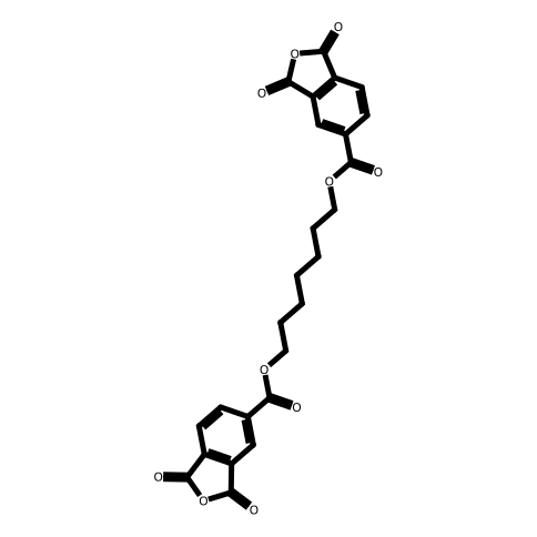 O=C(OCCCCCCCOC(=O)c1ccc2c(c1)C(=O)OC2=O)c1ccc2c(c1)C(=O)OC2=O